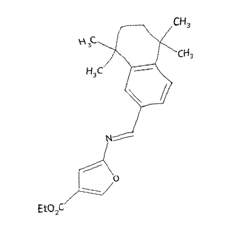 CCOC(=O)c1coc(N=Cc2ccc3c(c2)C(C)(C)CCC3(C)C)c1